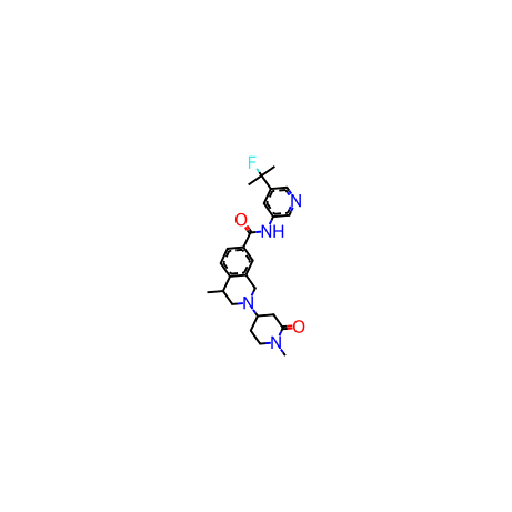 CC1CN(C2CCN(C)C(=O)C2)Cc2cc(C(=O)Nc3cncc(C(C)(C)F)c3)ccc21